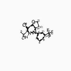 CC(O)c1nn(-c2cccc(C(F)(F)F)c2)c2c(c1=O)OCC2